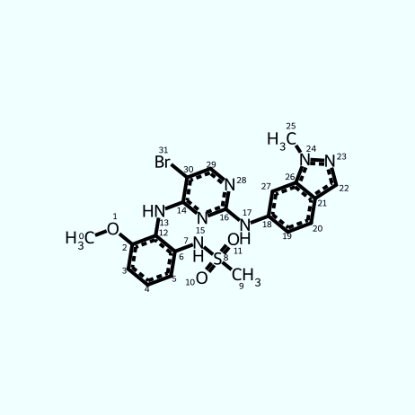 COc1cccc(NS(C)(=O)=O)c1Nc1nc(Nc2ccc3cnn(C)c3c2)ncc1Br